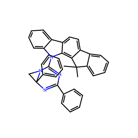 CC1(C)c2ccccc2-c2ccc3c4ccccc4n(C4=NC(c5ccccc5)=NC5(c6ccccc6)CN45)c3c21